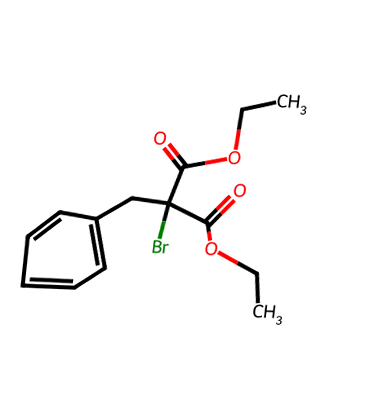 CCOC(=O)C(Br)(Cc1ccccc1)C(=O)OCC